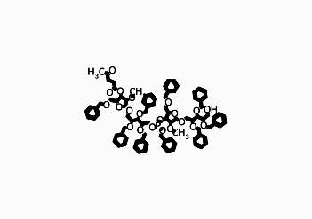 COC1C(OCC(OCc2ccccc2)C(OCc2ccccc2)C(COP(OCc2ccccc2)OC2C(COCc3ccccc3)OC(OCC(OCc3ccccc3)C(OCc3ccccc3)C(CO)OCc3ccccc3)C2OC)OCc2ccccc2)OC(COCc2ccccc2)C1OC(=O)CCC(C)=O